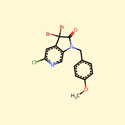 COc1ccc(CN2C(=O)C(Br)(Br)c3cc(Cl)ncc32)cc1